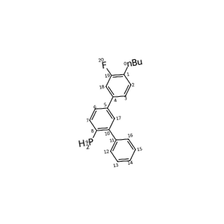 CCCCc1ccc(-c2ccc(P)c(-c3ccccc3)c2)cc1F